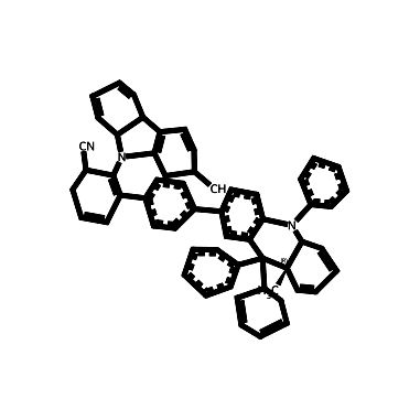 CC1C=CC2=C(C1)N(C1=C(c3ccc(-c4ccc5c(c4)C(c4ccccc4)(C4C=CC=CC4)[C@@]4(C)C=CC=CC4N5c4ccccc4)cc3)C=CCC1C#N)C1C=CC=CC21